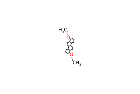 CCCCOc1cccc2c1ccc1c3cccc(OCCCC)c3ccc21